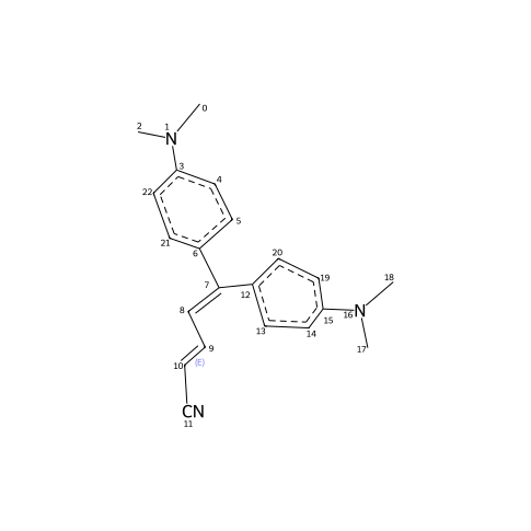 CN(C)c1ccc(C(=C/C=C/C#N)c2ccc(N(C)C)cc2)cc1